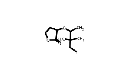 CC(OC1CCOC1=O)C(C)(C)CI